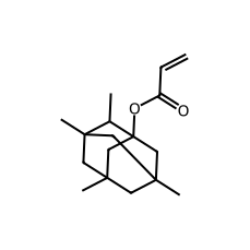 C=CC(=O)OC12CC3(C)CC(C)(CC(C)(C3)C1C)C2